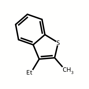 CCc1c(C)sc2ccccc12